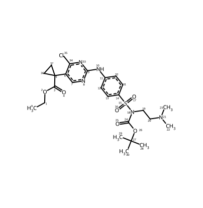 CCOC(=O)C1(c2cnc(Nc3ccc(S(=O)(=O)N(CCN(C)C)C(=O)OC(C)(C)C)cc3)nc2Cl)CC1